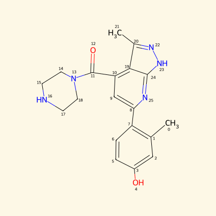 Cc1cc(O)ccc1-c1cc(C(=O)N2CCNCC2)c2c(C)n[nH]c2n1